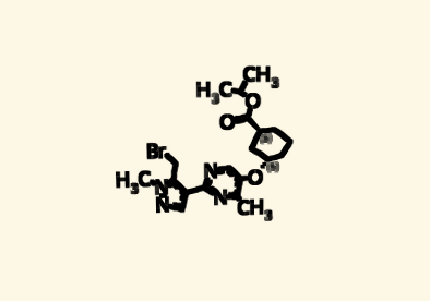 Cc1nc(-c2cnn(C)c2CBr)ncc1O[C@H]1CCC[C@H](C(=O)OC(C)C)C1